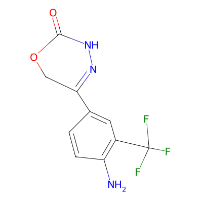 Nc1ccc(C2=NNC(=O)OC2)cc1C(F)(F)F